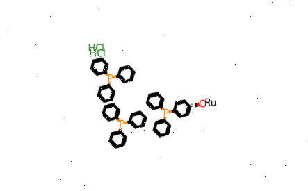 Cl.Cl.[C]=O.[Ru].c1ccc(P(c2ccccc2)c2ccccc2)cc1.c1ccc(P(c2ccccc2)c2ccccc2)cc1.c1ccc(P(c2ccccc2)c2ccccc2)cc1